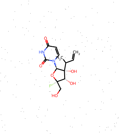 C=CC(C)[C@]1(O)[C@H](n2ccc(=O)[nH]c2=O)O[C@](F)(CO)[C@H]1O